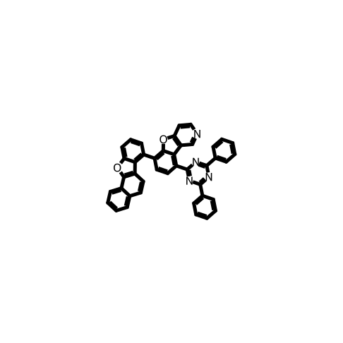 c1ccc(-c2nc(-c3ccccc3)nc(-c3ccc(-c4cccc5oc6c7ccccc7ccc6c45)c4oc5ccncc5c34)n2)cc1